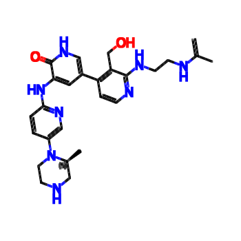 C=C(C)NCCNc1nccc(-c2c[nH]c(=O)c(Nc3ccc(N4CCNC[C@@H]4C)cn3)c2)c1CO